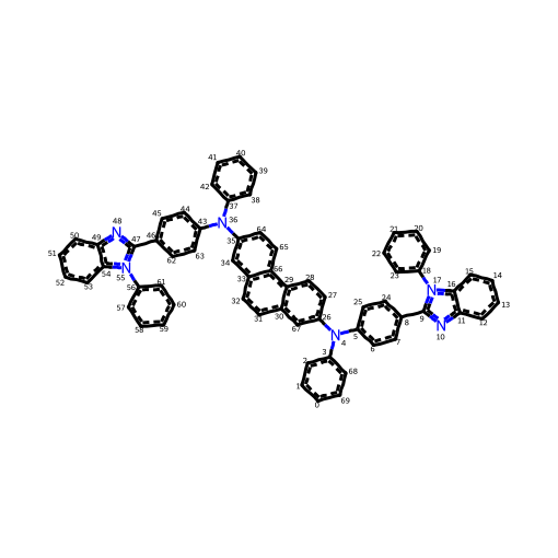 c1ccc(N(c2ccc(-c3nc4ccccc4n3-c3ccccc3)cc2)c2ccc3c(ccc4cc(N(c5ccccc5)c5ccc(-c6nc7ccccc7n6-c6ccccc6)cc5)ccc43)c2)cc1